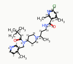 Cc1ccncc1CN(C(=O)CC(C)(C)C)C1CCN(C(C)CCNC(=O)c2c(C)cc(Cl)nc2C)CC1